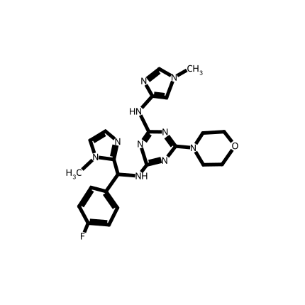 Cn1cnc(Nc2nc(NC(c3ccc(F)cc3)c3nccn3C)nc(N3CCOCC3)n2)c1